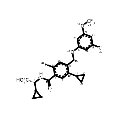 O=C(N[C@@H](C(=O)O)C1CC1)c1cc(C2CC2)c(COc2cc(Cl)cc(OC(F)(F)F)c2)cc1F